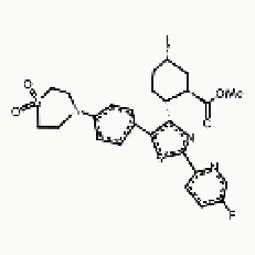 COC(=O)[C@@H]1C[C@@H](F)CC[C@H]1c1nc(-c2ccc(F)cn2)sc1-c1ccc(N2CCS(=O)(=O)CC2)cc1